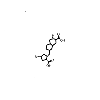 O=C(O)C1CC2CC(CN3C[C@H](Br)C[C@H]3C(=O)O)CCC2CN1